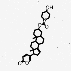 CC12CCC3C(CCC4CC(OC(=O)N5CCC(O)CC5)CCC43C)C1=CCC2c1ccc(=O)oc1